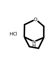 C1CC2COCC1N2.Cl